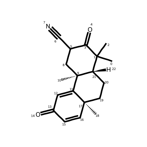 CC1(C)C(=O)C(C#N)C[C@]2(C)C3=CC(=O)C=C[C@]3(C)CC[C@@H]12